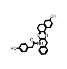 O=C(Cc1ccc(O)cc1)Nc1nc2c(nc1Cc1ccccc1)-c1ccc(O)cc1CC2